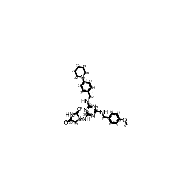 COc1ccc(CNc2nc(NCc3ccc(N4CCCCC4)cc3)nc(NN3CC(=O)NC3=O)n2)cc1